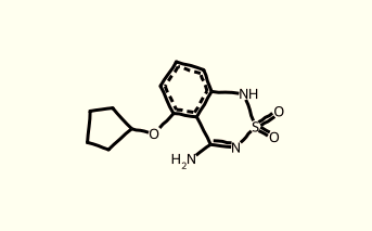 NC1=NS(=O)(=O)Nc2cccc(OC3CCCC3)c21